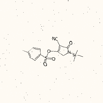 Cc1ccc(S(=O)(=O)OC2=C(C#N)C(=O)N([Si](C)(C)C)C2)cc1